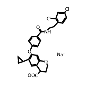 O=C(NCCc1ccc(Cl)cc1Cl)c1ccc(Oc2cc3c(cc2C2CC2)C(C(=O)[O-])CCO3)cc1.[Na+]